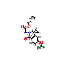 CC(C)CCOC(=O)CN1CC2(CC2)c2cc(OC(F)F)ccc2C1=O